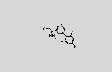 Cc1cc(F)cc(C)c1-c1cncc(C(N)CC(=O)O)c1